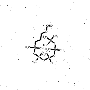 C[Si](C)(C)O[Si](C)(C)O[Si](C)(C)O[Si](C)(C)O[Si](C)(C)CCCO[C]=O